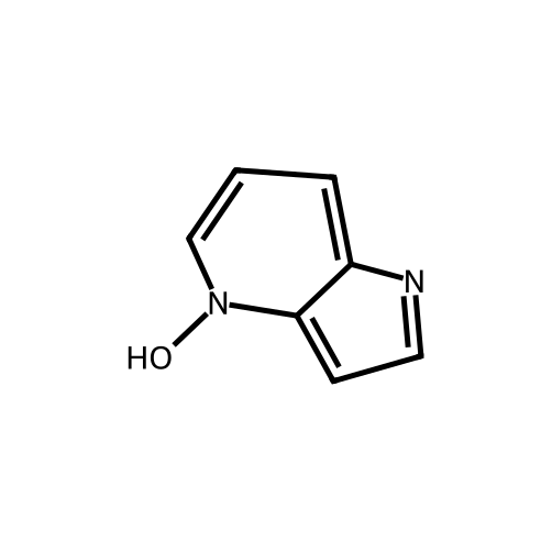 On1cccc2nccc1-2